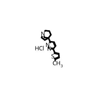 Cc1ccc(-c2ccc(C34CCCN(CC3)C4)nn2)s1.Cl